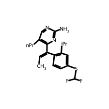 C/C=C(\c1ccc(SC(F)F)cc1C(C)C)c1nc(N)ncc1CCC